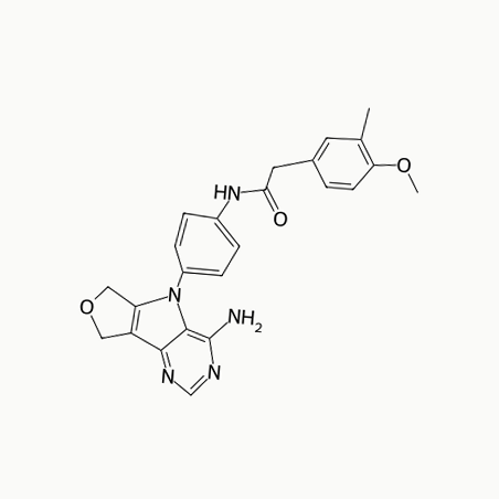 COc1ccc(CC(=O)Nc2ccc(-n3c4c(c5ncnc(N)c53)COC4)cc2)cc1C